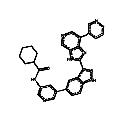 O=C(Nc1cncc(-c2ccc3[nH]nc(-c4nc5c(-c6cccnc6)cncc5[nH]4)c3c2)c1)C1CCCCC1